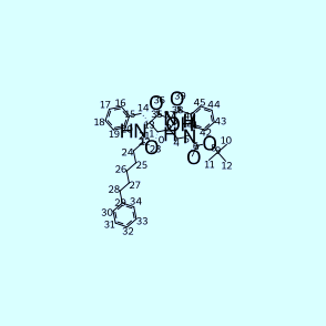 C[C@@H](C(O)CNC(=O)OC(C)(C)C)[C@@](Cc1ccccc1)(NC(=O)CCCCCc1ccccc1)C(=O)NC(=O)c1ccccc1